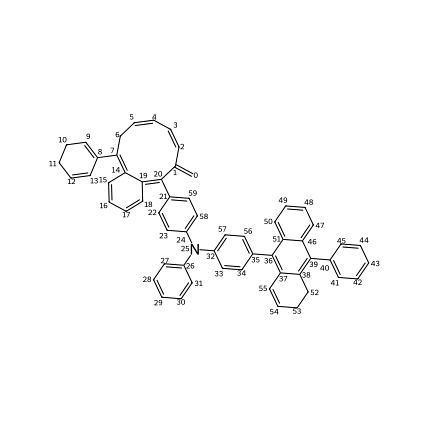 C=C1/C=C\C=C/C/C(C2=CCCC=C2)=c2/cccc/c2=C/1c1ccc(N(c2ccccc2)c2ccc(-c3c4c(c(-c5ccccc5)c5ccccc35)CCC=C4)cc2)cc1